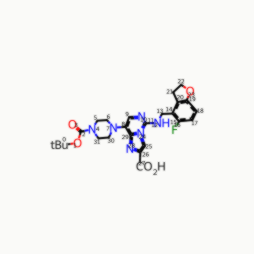 CC(C)(C)OC(=O)N1CCN(c2cnc(NCc3c(F)ccc4c3CCO4)n3cc(C(=O)O)nc23)CC1